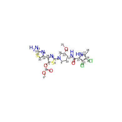 COC(=O)Oc1sc(N2CC[C@@H](NC(=O)c3[nH]c(C)c(Cl)c3Cl)[C@@H](OC)C2)nc1-c1csc(N)n1